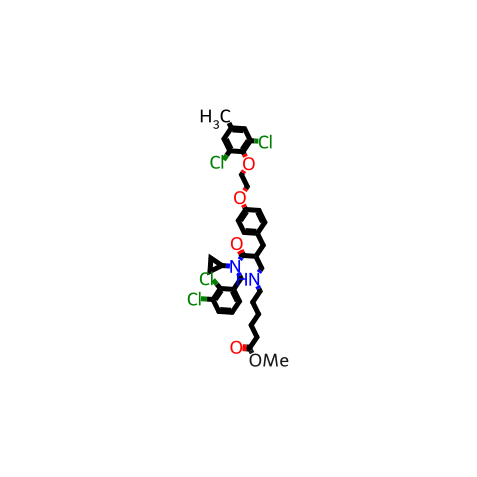 COC(=O)CCCCCNCC(Cc1ccc(OCCOc2c(Cl)cc(C)cc2Cl)cc1)C(=O)N(Cc1cccc(Cl)c1Cl)C1CC1